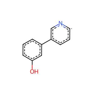 Oc1cccc(-c2cc[c]nc2)c1